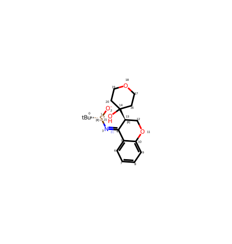 CC(C)(C)[S@+]([O-])/N=C1/c2ccccc2OC[C@@H]1C1(O)CCOCC1